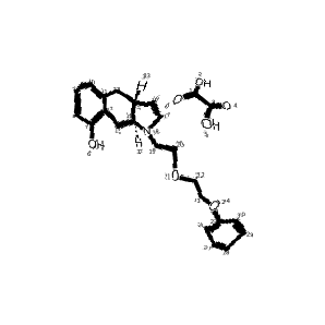 O=C(O)C(=O)O.Oc1cccc2c1C[C@H]1[C@@H](CCN1CCOCCOc1ccccc1)C2